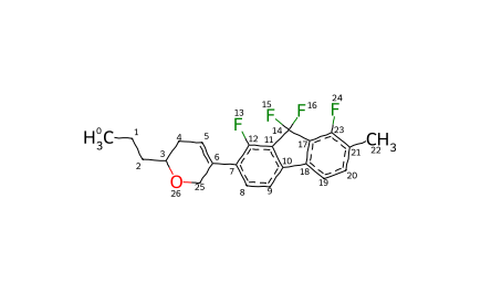 CCCC1CC=C(c2ccc3c(c2F)C(F)(F)c2c-3ccc(C)c2F)CO1